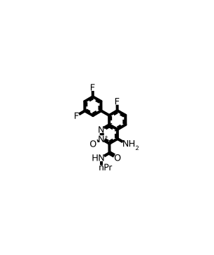 CCCNC(=O)c1c(N)c2ccc(F)c(-c3cc(F)cc(F)c3)c2n[n+]1[O-]